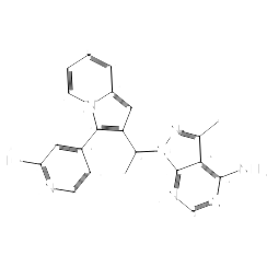 Cc1nn(C(C)c2cc3ccccn3c2-c2ccnc(O)c2)c2ncnc(N)c12